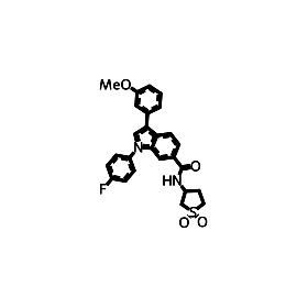 COc1cccc(-c2cn(-c3ccc(F)cc3)c3cc(C(=O)NC4CCS(=O)(=O)C4)ccc23)c1